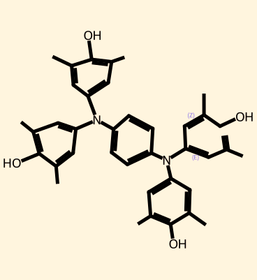 C=C(C)/C=C(\C=C(\C)CO)N(c1ccc(N(c2cc(C)c(O)c(C)c2)c2cc(C)c(O)c(C)c2)cc1)c1cc(C)c(O)c(C)c1